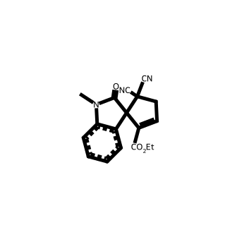 CCOC(=O)C1=CCC(C#N)(C#N)C12C(=O)N(C)c1ccccc12